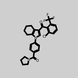 O=C(c1cn(-c2ccc(C(=O)N3CCCC3)cc2)c2c1CCCC2)c1c(Cl)cccc1C(F)(F)F